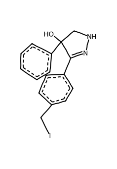 OC1(c2ccccc2)CNN=C1c1ccc(CI)cc1